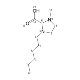 CCCCCCN1CCN(C)C1C(=O)O